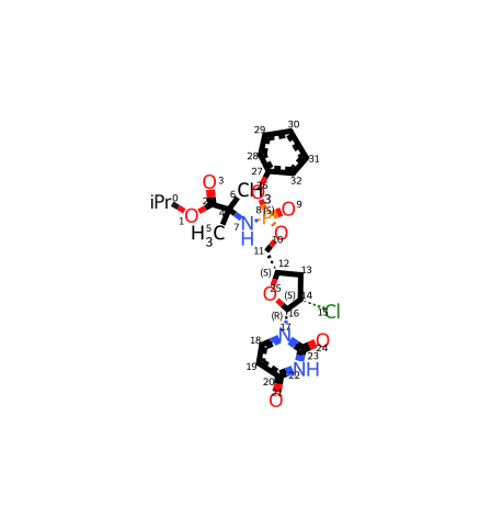 CC(C)OC(=O)C(C)(C)N[P@](=O)(OC[C@@H]1C[C@H](Cl)[C@H](n2ccc(=O)[nH]c2=O)O1)Oc1ccccc1